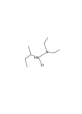 CCC(C)[SiH](Cl)N(CC)CC